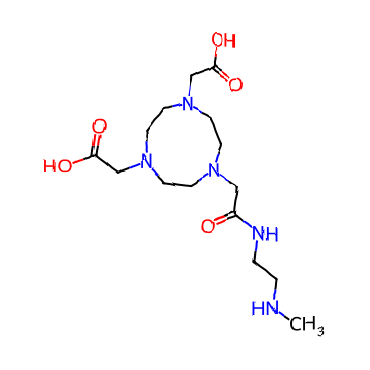 CNCCNC(=O)CN1CCN(CC(=O)O)CCN(CC(=O)O)CC1